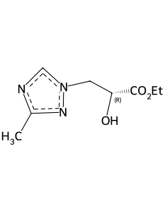 CCOC(=O)[C@H](O)Cn1cnc(C)n1